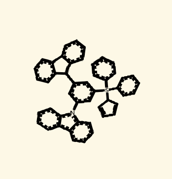 C1=CC(S(c2ccccc2)(c2ccccc2)c2cc(C3c4ccccc4-c4ccccc43)cc(-n3c4ccccc4c4ccccc43)c2)C=C1